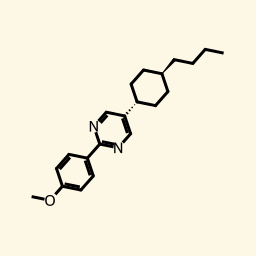 CCCC[C@H]1CC[C@H](c2cnc(-c3ccc(OC)cc3)nc2)CC1